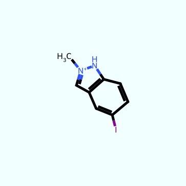 C[n+]1cc2cc(I)ccc2[nH]1